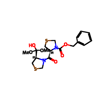 COC(O)(OC)[C@@H]1CSCN1C(=O)[C@@H]1CSCN1C(=O)OCc1ccccc1